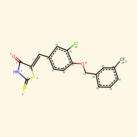 O=C1NC(=S)S/C1=C\c1ccc(OCc2cccc(C(F)(F)F)c2)c(Cl)c1